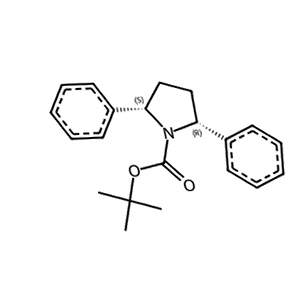 CC(C)(C)OC(=O)N1[C@@H](c2ccccc2)CC[C@H]1c1ccccc1